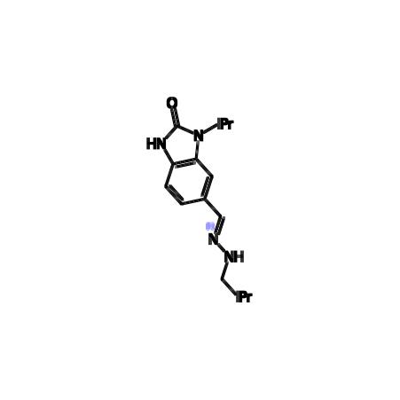 CC(C)CN/N=C/c1ccc2[nH]c(=O)n(C(C)C)c2c1